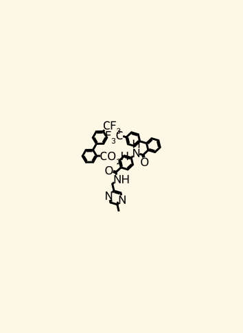 Cc1cnc(CNC(=O)c2ccc(NC(=O)c3ccccc3-c3ccc(C(F)(F)F)cc3)cc2)cn1.O=C(O)c1ccccc1-c1ccc(C(F)(F)F)cc1